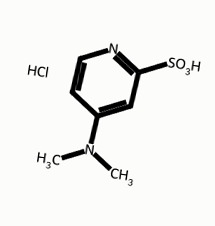 CN(C)c1ccnc(S(=O)(=O)O)c1.Cl